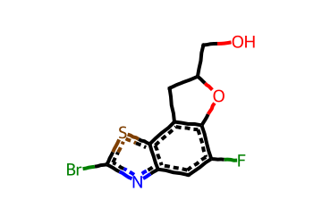 OCC1Cc2c(c(F)cc3nc(Br)sc23)O1